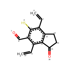 C=Cc1c(S)c(C=O)c(C=C)c2c1CCC2=O